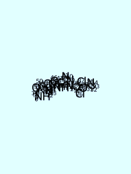 CN[C@@H](C)C(=O)N[C@H](C(=O)N1CCC[C@H]1C(=O)Nc1cc2c(Nc3cc(Cl)c(OCc4ccccn4)c(Cl)c3)ncnc2cc1OC)C(C)(C)C